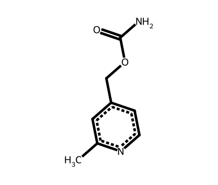 Cc1cc(COC(N)=O)ccn1